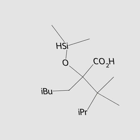 CCC(C)CC(O[SiH](C)C)(C(=O)O)C(C)(C)C(C)C